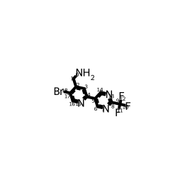 NCc1cc(-c2cnc(C(F)(F)F)nc2)ncc1Br